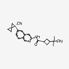 CC(C)(O)C1CC(C(=O)Nc2cc3cc([C@]4(C#N)CC45CC5)ccc3cn2)C1